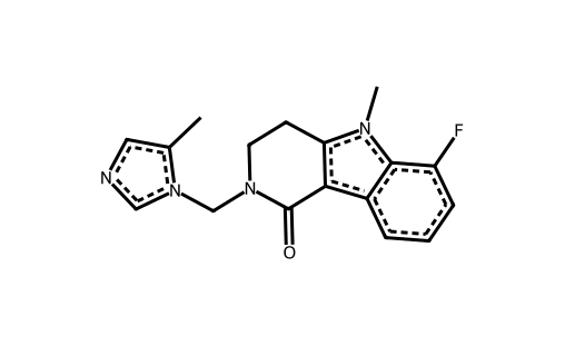 Cc1cncn1CN1CCc2c(c3cccc(F)c3n2C)C1=O